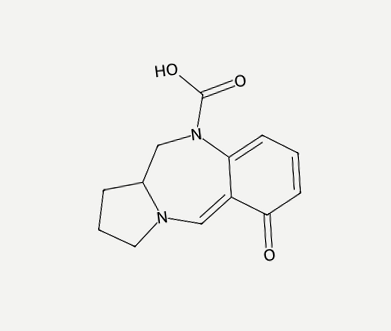 O=C1C=CC=C2C1=CN1CCCC1CN2C(=O)O